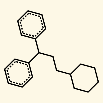 [CH]1CCCC(CCC(c2ccccc2)c2ccccc2)C1